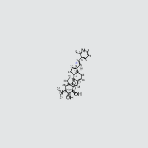 Cc1ncccc1/C=C/C1=CCC2[C@]1(C)CC=C1C=C3[C@@H](O)[C@H](O)[C@@H](N(C)C)C[C@]34CC[C@@]12O4